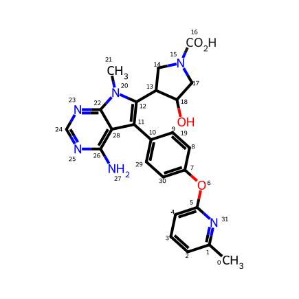 Cc1cccc(Oc2ccc(-c3c(C4CN(C(=O)O)CC4O)n(C)c4ncnc(N)c34)cc2)n1